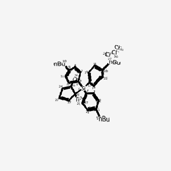 CCCCc1ccc([Si](c2ccc(CCCC)cc2)(c2ccc(CCCC)cc2)[C]2([Ti+3])C=CC=C2C)cc1.[Cl-].[Cl-].[Cl-]